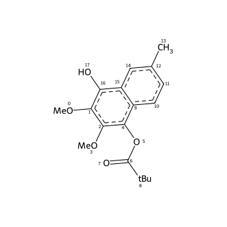 COc1c(OC)c(OC(=O)C(C)(C)C)c2ccc(C)cc2c1O